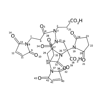 O=C(O)CCN(C(=O)CCN1C(=O)C=CC1=O)N(CC(C(=O)O)(N1C(=O)CCC1=O)N1C(=O)CCC1=O)C(=O)CCN1C(=O)C=CC1=O